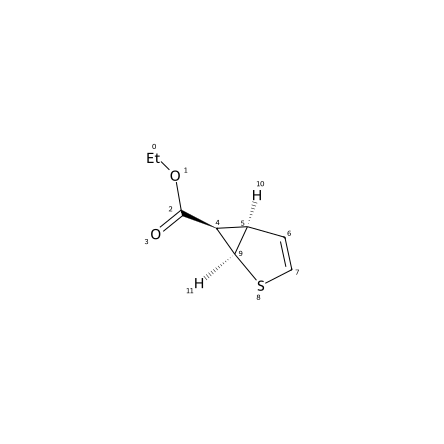 CCOC(=O)[C@H]1[C@H]2C=CS[C@H]21